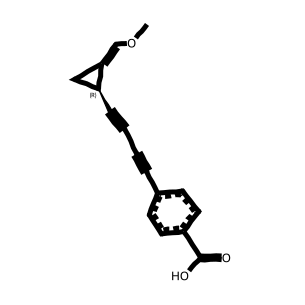 COC=C1C[C@@H]1C#CC#Cc1ccc(C(=O)O)cc1